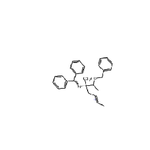 C/C=C/CC(N=C(c1ccccc1)c1ccccc1)(C(=O)O)C(C)OCc1ccccc1